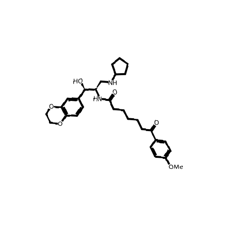 COc1ccc(C(=O)CCCCCC(=O)N[C@H](CNC2CCCC2)[C@H](O)c2ccc3c(c2)OCCO3)cc1